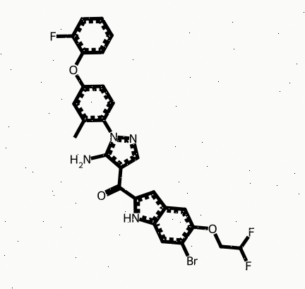 Cc1cc(Oc2ccccc2F)ccc1-n1ncc(C(=O)c2cc3cc(OCC(F)F)c(Br)cc3[nH]2)c1N